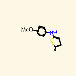 COc1ccc(NC2=CCC(C)S2)cc1